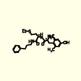 CCSCC[C@@H](NC(=O)[C@@H](N)Cc1c(C)cc(O)cc1C)C(=O)NCCCc1ccccc1